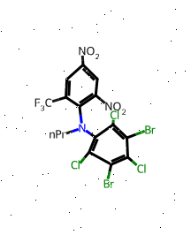 CCCN(c1c([N+](=O)[O-])cc([N+](=O)[O-])cc1C(F)(F)F)c1c(Cl)c(Br)c(Cl)c(Br)c1Cl